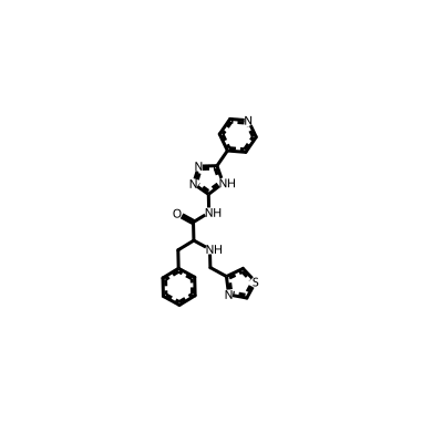 O=C(Nc1nnc(-c2ccncc2)[nH]1)C(Cc1ccccc1)NCc1cscn1